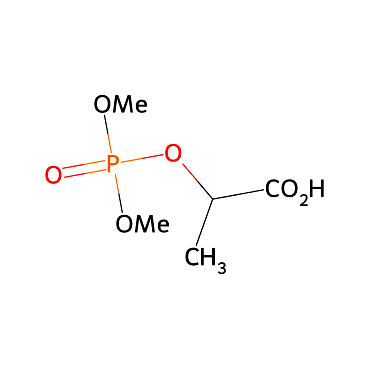 COP(=O)(OC)OC(C)C(=O)O